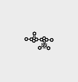 c1ccc(-c2cc3ccc4cc(-c5cc6ccc7cc(-c8ccccc8)cc8c7c6c(c5)n8-c5nc(-c6ccccc6)nc(-c6ccccc6)n5)cc5c4c3c(c2)n5-c2ccccc2)cc1